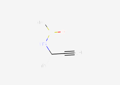 C#C[C@@H](N[S+]([O-])C(C)(C)C)C(C)C